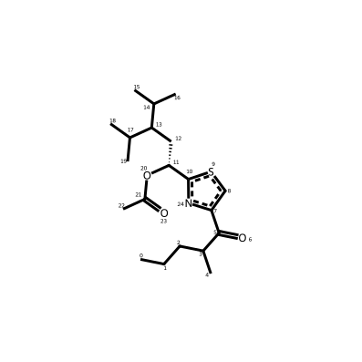 CCCC(C)C(=O)c1csc([C@@H](CC(C(C)C)C(C)C)OC(C)=O)n1